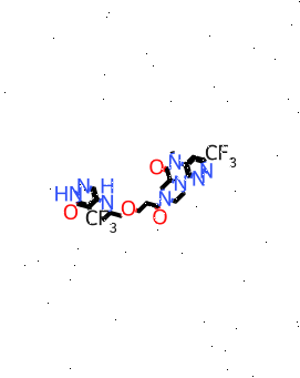 CC(COCCC(=O)N1CCN2c3nnc(C(F)(F)F)cc3N(C)C(=O)C2C1)Nc1cn[nH]c(=O)c1C(F)(F)F